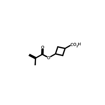 C=C(C)C(=O)OC1CC(C(=O)O)C1